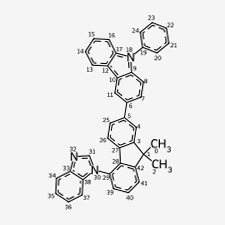 CC1(C)c2cc(-c3ccc4c(c3)c3ccccc3n4-c3ccccc3)ccc2-c2c(-n3cnc4ccccc43)cccc21